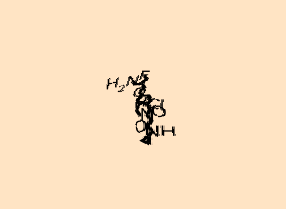 Cl.NC/C(=C\F)COc1ccc2c(c1)CCN(CC(=O)NC1CC1)C2=O